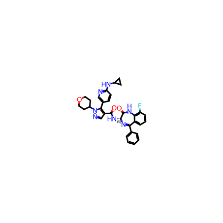 O=C(N[C@H]1N=C(c2ccccc2)c2cccc(F)c2NC1=O)c1cnn(C2CCOCC2)c1-c1ccc(NC2CC2)nc1